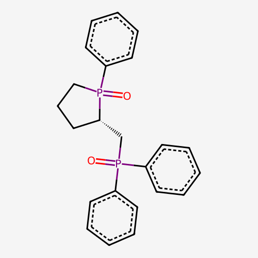 O=P(C[C@@H]1CCCP1(=O)c1ccccc1)(c1ccccc1)c1ccccc1